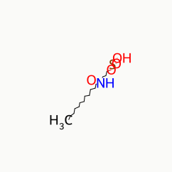 CCCCCCCCCCCC(=O)NCCCOSOO